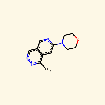 Cc1nncc2cnc(N3CCOCC3)cc12